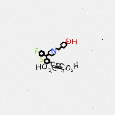 O=C(O)C=CC(=O)O.OC1CCC(CCN2CCC(=C3c4ccc(F)cc4Sc4ccc(C(F)(F)F)cc43)CC2)CC1